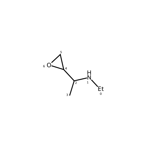 CCNC(C)C1CO1